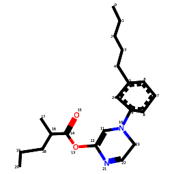 CCCCCc1cccc(N2C=C(OC(=O)C(C)CCC)N=CC2)c1